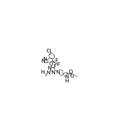 CCOC(=O)[C@@H]1CC2(CCN(c3cc(O[C@H](c4ccc(Cl)cc4-c4ccn(C)n4)C(F)(F)F)nc(N)n3)CC2)CN1